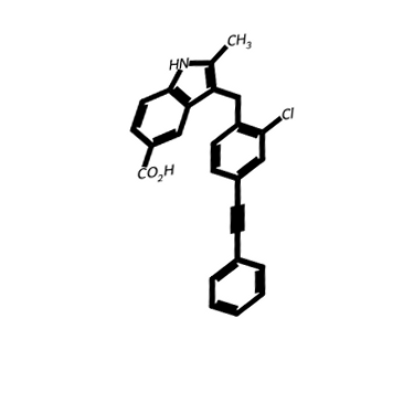 Cc1[nH]c2ccc(C(=O)O)cc2c1Cc1ccc(C#Cc2ccccc2)cc1Cl